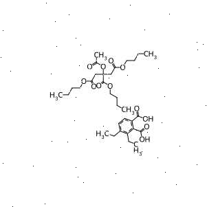 CCCCOC(=O)CC(CC(=O)OCCCC)(OC(C)=O)C(=O)OCCCC.CCc1ccc(C(=O)O)c(C(=O)O)c1CC